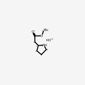 CC(C)(C)OC(=O)CC1CCCN1.Cl